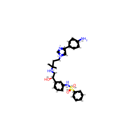 CC(C)(CCn1cnc(-c2ccc(N)cc2)c1)NC[C@H](O)c1cccc(NS(=O)(=O)c2ccccc2)c1